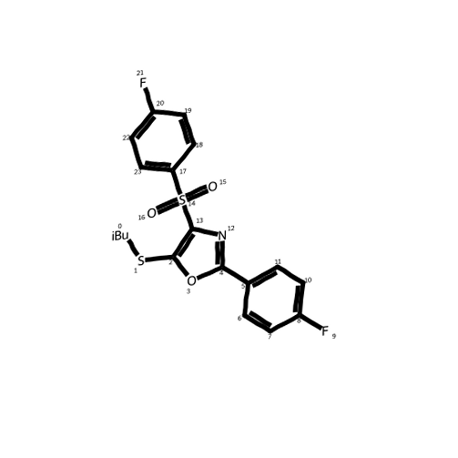 CCC(C)Sc1oc(-c2ccc(F)cc2)nc1S(=O)(=O)c1ccc(F)cc1